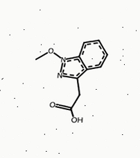 COn1nc(CC(=O)O)c2ccccc21